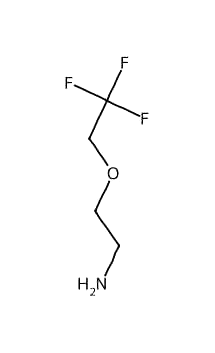 NCCOCC(F)(F)F